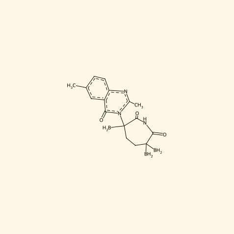 BC1(B)CCC(B)(n2c(C)nc3ccc(C)cc3c2=O)C(=O)NC1=O